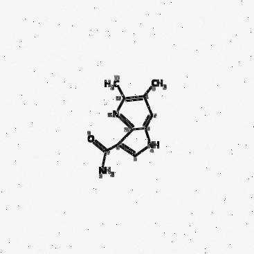 Cc1cc2[nH]cc(C(N)=O)c2nc1C